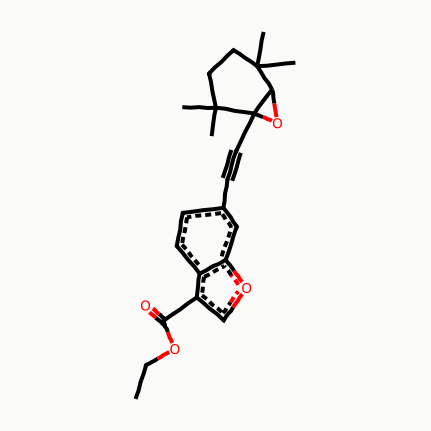 CCOC(=O)c1coc2cc(C#CC34OC3C(C)(C)CCC4(C)C)ccc12